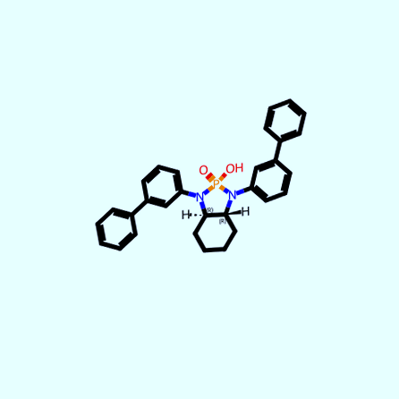 O=P1(O)N(c2cccc(-c3ccccc3)c2)[C@@H]2CCCC[C@H]2N1c1cccc(-c2ccccc2)c1